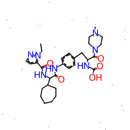 CCn1nccc1C(=O)NC(C(=O)Nc1ccc(CC(NC(=O)O)C(=O)N2CCN(C)CC2)cc1)C1CCCCCC1